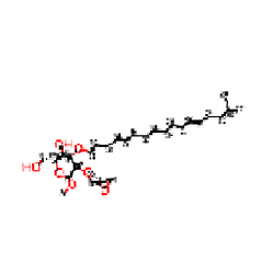 COC1O[C@H](CO)[C@@H](O)[C@H](OCCCCCCCCCCCCCCCC(C)C)[C@H]1OCC1CO1